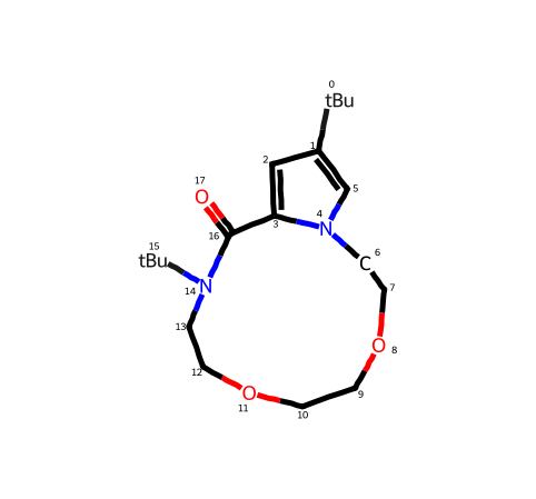 CC(C)(C)c1cc2n(c1)CCOCCOCCN(C(C)(C)C)C2=O